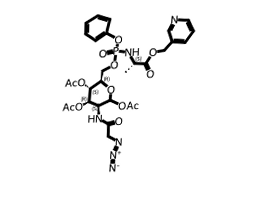 CC(=O)OC1O[C@H](COP(=O)(N[C@@H](C)C(=O)OCc2cccnc2)Oc2ccccc2)[C@@H](OC(C)=O)[C@H](OC(C)=O)[C@@H]1NC(=O)CN=[N+]=[N-]